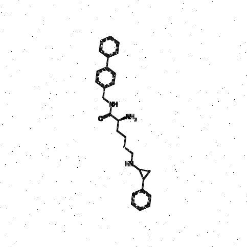 N[C@@H](CCCCNC1CC1c1ccccc1)C(=O)NCc1ccc(-c2ccccc2)cc1